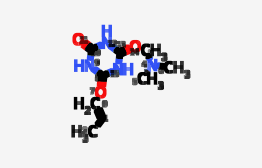 C=CC.CN(C)C.O=c1[nH]c(=O)[nH]c(=O)[nH]1